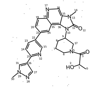 CC(O)C(=O)N1CCCC(n2c(=O)n(C)c3cnc4ccc(-c5ccc(-c6cnn(C)c6)nc5)cc4c32)C1